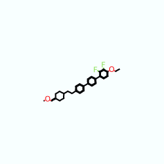 CCOc1ccc(-c2ccc(-c3ccc(CCC4CCC(=COC)CC4)cc3)cc2)c(F)c1F